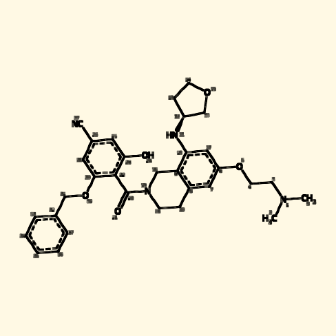 CN(C)CCOc1cc2c(c(N[C@H]3CCOC3)c1)CN(C(=O)c1c(O)cc(C#N)cc1OCc1ccccc1)CC2